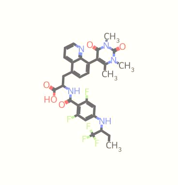 CCC(Nc1cc(F)c(C(=O)NC(Cc2ccc(-c3c(C)n(C)c(=O)n(C)c3=O)c3ncccc23)C(=O)O)c(F)c1)C(F)(F)F